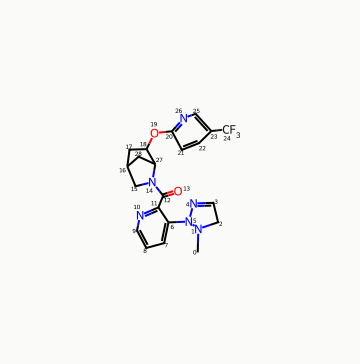 CN1CC=NN1c1cccnc1C(=O)N1CC2CC(Oc3ccc(C(F)(F)F)cn3)C1C2